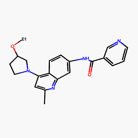 CCOC1CCN(c2cc(C)nc3cc(NC(=O)c4cccnc4)ccc23)C1